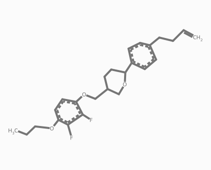 C=CCCc1ccc(C2CCC(COc3ccc(OCCC)c(F)c3F)CO2)cc1